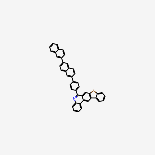 c1ccc2cc(-c3ccc4cc(-c5ccc(-c6nc7ccccc7c7cc8c(cc67)sc6ccccc68)cc5)ccc4c3)ccc2c1